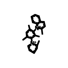 Cc1cc(C)c(-[n+]2c(C)ccc3ccccc32)c(C)c1-[n+]1ccccc1C